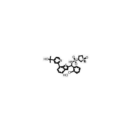 CC(C)(O)c1ccnc(-c2cccc3cc(C(NS(=O)(=O)[C@H]4CCS(=O)(=O)C4)c4ccccc4Cl)sc23)c1.Cl